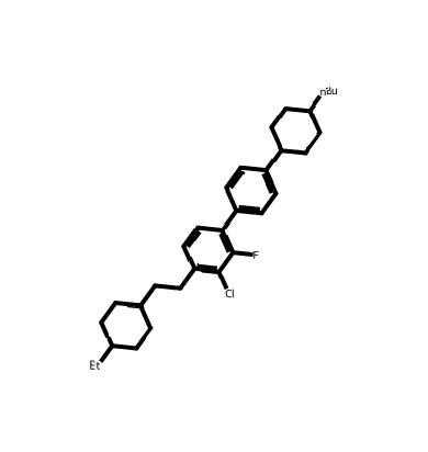 CCCCC1CCC(c2ccc(-c3ccc(CCC4CCC(CC)CC4)c(Cl)c3F)cc2)CC1